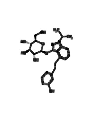 CC(C)n1nc(O[C@@H]2O[C@H](CO)[C@@H](O)[C@H](O)[C@H]2O)c2c(CCc3cccc(O)c3)cccc21